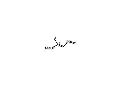 C=N/C=C(\C)OC